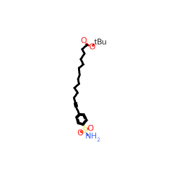 CC(C)(C)OC(=O)CCCCCCCCCCCC#Cc1ccc(S(N)(=O)=O)cc1